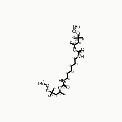 CC(CC(C)(C)OOC(C)(C)C)OC(=O)NCCCCCCNC(=O)OC(C)CC(C)(C)OOC(C)(C)C